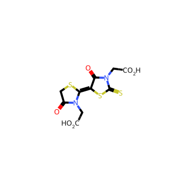 O=C(O)CN1C(=O)/C(=C2\SCC(=O)N2CC(=O)O)SC1=S